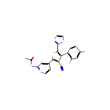 CC(=O)Nc1cc(-c2sc(-c3ncc[nH]3)c(-c3ccc(Cl)cc3Cl)c2C#N)ccn1